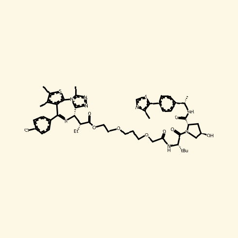 CC[C@@H](C(=O)OCCOCCCOCC(=O)N[C@H](C(=O)N1C[C@H](O)C[C@H]1C(=O)N[C@@H](C)c1ccc(-c2scnc2C)cc1)C(C)(C)C)[C@@H]1N=C(c2ccc(Cl)cc2)c2c(sc(C)c2C)-n2c(C)nnc21